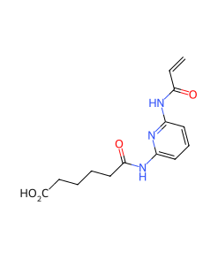 C=CC(=O)Nc1cccc(NC(=O)CCCCC(=O)O)n1